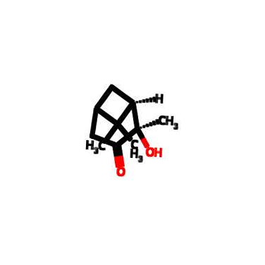 CC1(C)C2CC(=O)[C@](C)(O)[C@@H]1C2